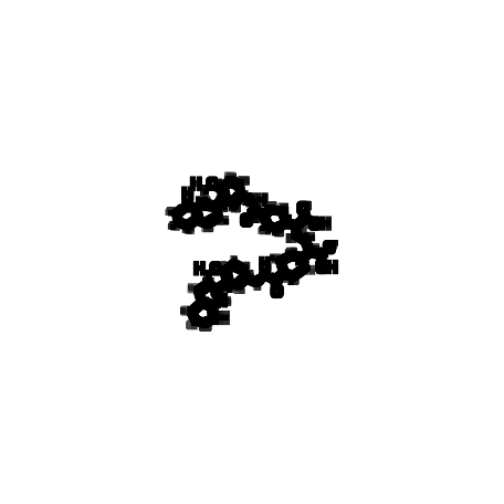 Cc1ccc(CNC(=O)C2CCN(C(CCC(C(=O)O)N3CCC(C(=O)Nc4ccc(C)c(-c5ccc6c(n5)NCCC6)c4)CC3)C(=O)O)CC2)cc1-c1ccc2c(n1)NCCC2